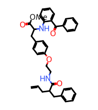 C=CCC(Cc1ccccc1)C(=O)NCCOc1ccc(CC(Nc2ccccc2C(=O)c2ccccc2)C(=O)OC)cc1